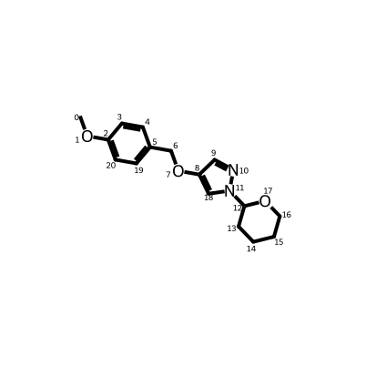 COc1ccc(COc2cnn(C3CCCCO3)c2)cc1